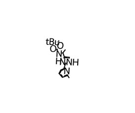 Cc1cccc(-c2nc(C(C)NC(=O)OC(C)(C)C)c[nH]2)n1